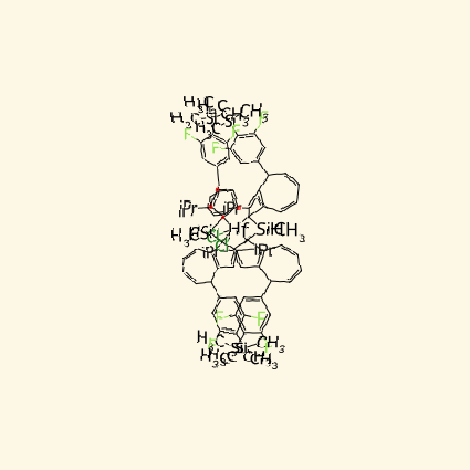 CC(C)C1=CC2=C(C=CC=CC2c2cc(F)c([Si](C)(C)C)c(F)c2)[C]12[SiH](C)[C]1(C(C(C)C)=CC3=C1C=CC=CC3c1cc(F)c([Si](C)(C)C)c(F)c1)[Hf]21([Cl])([Cl])[C]2(C(C(C)C)=CC3=C2C=CC=CC3c2cc(F)c([Si](C)(C)C)c(F)c2)[SiH](C)[C]12C(C(C)C)=CC1=C2C=CC=CC1c1cc(F)c([Si](C)(C)C)c(F)c1